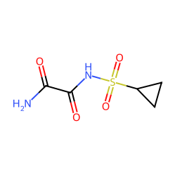 NC(=O)C(=O)NS(=O)(=O)C1CC1